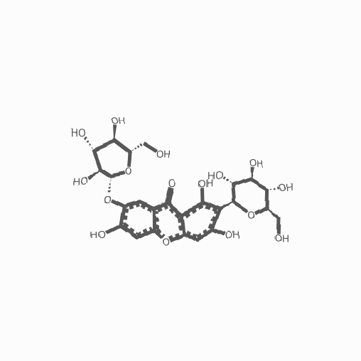 O=c1c2cc(O[C@H]3O[C@@H](CO)[C@H](O)[C@@H](O)[C@@H]3O)c(O)cc2oc2cc(O)c([C@@H]3O[C@H](CO)[C@@H](O)[C@H](O)[C@H]3O)c(O)c12